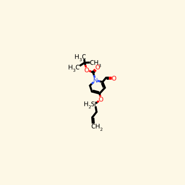 C=CC[SiH2]OC1=CCN(C(=O)OC(C)(C)C)C(C=O)=C1